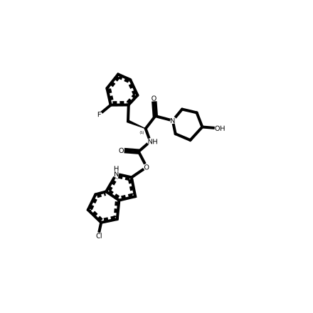 O=C(N[C@@H](Cc1ccccc1F)C(=O)N1CCC(O)CC1)Oc1cc2cc(Cl)ccc2[nH]1